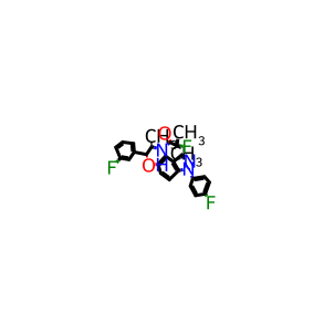 C[C@H](NC(=O)C(C)(C)F)[C@H](Oc1ccc2c(cnn2-c2ccc(F)cc2)c1)c1cccc(F)c1